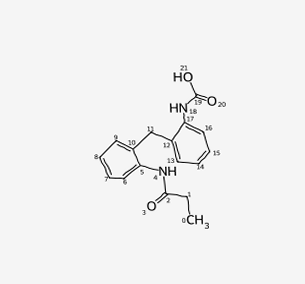 CCC(=O)Nc1ccccc1Cc1ccccc1NC(=O)O